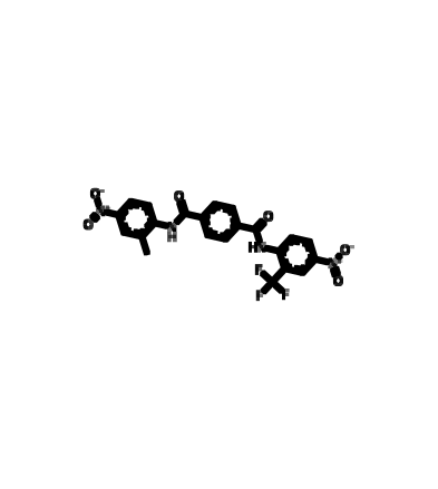 Cc1cc([N+](=O)[O-])ccc1NC(=O)c1ccc(C(=O)Nc2ccc([N+](=O)[O-])cc2C(F)(F)F)cc1